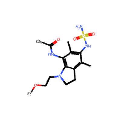 CCOCCN1CCc2c(C)c(NS(N)(=O)=O)c(C)c(NC(=O)C(C)(C)C)c21